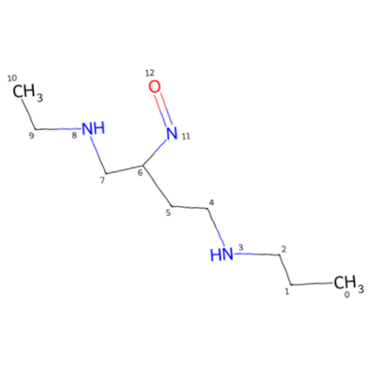 CCCNCCC(CNCC)N=O